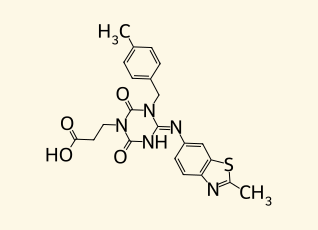 Cc1ccc(Cn2c(=O)n(CCC(=O)O)c(=O)[nH]/c2=N\c2ccc3nc(C)sc3c2)cc1